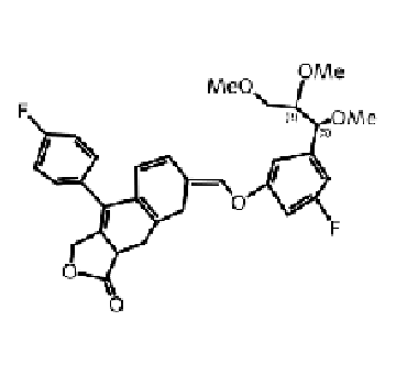 COC[C@@H](OC)[C@@H](OC)c1cc(F)cc(OC=C2C=CC3=C(C2)CC2C(=O)OCC2=C3c2ccc(F)cc2)c1